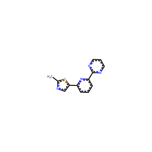 Cc1ncc(-c2cccc(-c3ncccn3)n2)s1